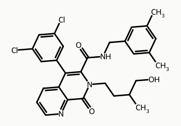 Cc1cc(C)cc(CNC(=O)c2c(-c3cc(Cl)cc(Cl)c3)c3cccnc3c(=O)n2CCC(C)CO)c1